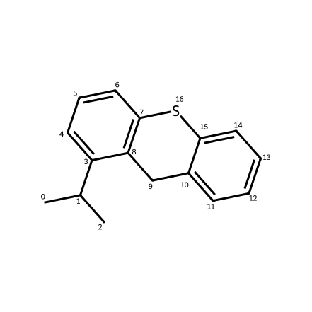 CC(C)c1cccc2c1Cc1ccccc1S2